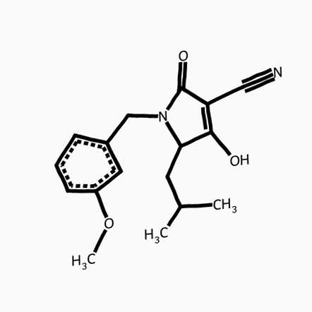 COc1cccc(CN2C(=O)C(C#N)=C(O)C2CC(C)C)c1